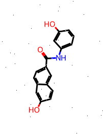 O=C(Nc1cccc(O)c1)c1ccc2cc(O)ccc2c1